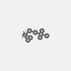 c1ccc(-c2c3ccccc3c(-c3ccc(-c4cccc(-c5ncnc6c5-c5cccc7cccc-6c57)c4)cc3)c3ccccc23)cc1